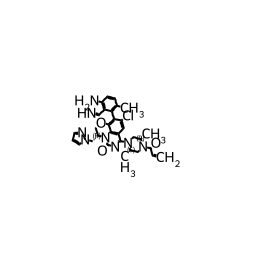 C=CC(=O)N1C[C@H](C)N(c2nc(=O)n3c4c(c(-c5c(C)ccc(N)c5C=N)c(Cl)cc24)OC[C@H]3Cn2cccn2)C[C@H]1C